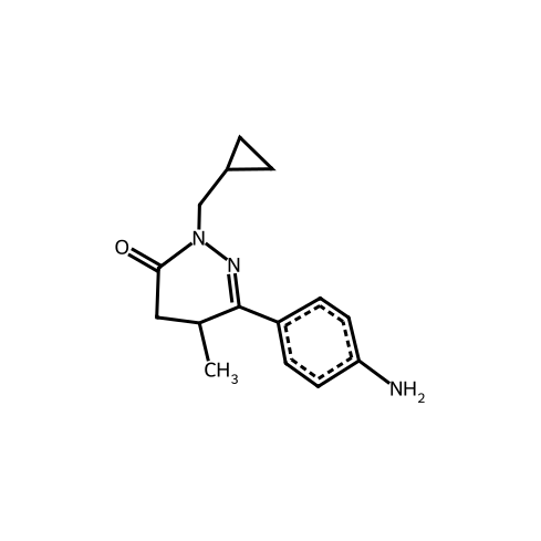 CC1CC(=O)N(CC2CC2)N=C1c1ccc(N)cc1